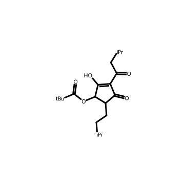 CC(C)CCC1C(=O)C(C(=O)CC(C)C)=C(O)C1OC(=O)C(C)(C)C